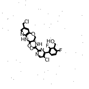 O=C(N[C@H]1COc2cc(CCl)cnc2NC1=O)c1ncc(Cl)c(-c2ccc(F)c(CO)c2F)n1